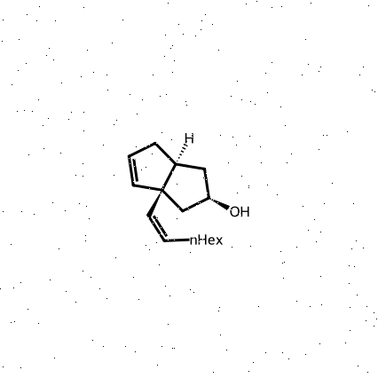 CCCCCC/C=C\[C@@]12C=CC[C@H]1C[C@@H](O)C2